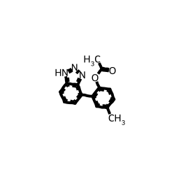 CC(=O)Oc1ccc(C)cc1-c1cccc2[nH]nnc12